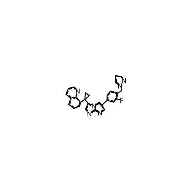 Fc1cc(-c2cnc3ncc(C4(c5cccc6cccnc56)CC4)n3c2)ccc1Cn1cccn1